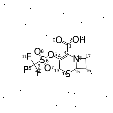 O=C(O)C1=C(OS(=O)(=O)C(F)(F)F)CSC2CCN12